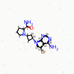 NC(=O)[C@@H]1CCCN1[C@H]1C[C@H](n2cc(Br)c3c(N)ncnc32)C1